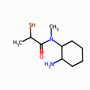 CC(S)C(=O)N(C)C1CCCCC1N